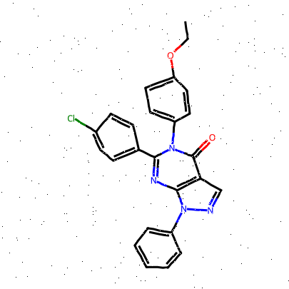 CCOc1ccc(-n2c(-c3ccc(Cl)cc3)nc3c(cnn3-c3ccccc3)c2=O)cc1